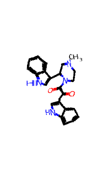 CN1CCN(C(=O)C(=O)c2c[nH]c3ccccc23)C(c2c[nH]c3ccccc23)C1